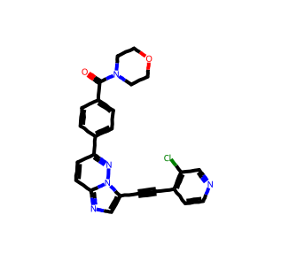 O=C(c1ccc(-c2ccc3ncc(C#Cc4ccncc4Cl)n3n2)cc1)N1CCOCC1